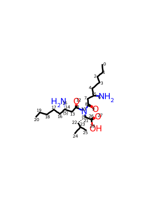 CCCCCC(N)CC(=O)N(C(=O)C[C@@H](N)CCCCC)[C@@H](CC(C)C)C(=O)O